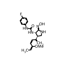 C=C(/C=C\C(=C/C)OC)[C@@H]1CN/C(=N\O)[C@H]1NC(=O)Nc1ccc(F)cc1